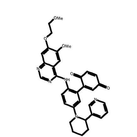 COCCOc1cc2ncnc(Nc3ccc(N4CCCCC4c4cccnc4)cc3C3=CC(=O)C=CC3=O)c2cc1OC